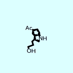 CC(=O)c1ccc2[nH]cc(CCCO)c2c1